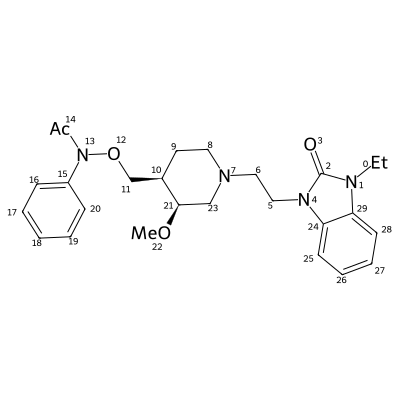 CCn1c(=O)n(CCN2CC[C@H](CON(C(C)=O)c3ccccc3)[C@H](OC)C2)c2ccccc21